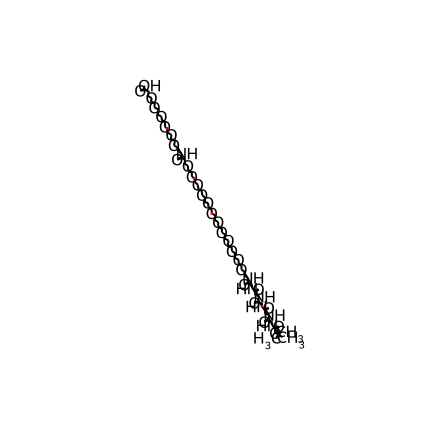 CC(C)(C)OC(=O)NCC(=O)NCC(=O)NCC(=O)NCC(=O)NCC(=O)NCCOCCOCCOCCOCCOCCOCCOCCOCCOCCOCCOCCOCCC(=O)NCCOCCOCCOCCOCCOCCOCCC(=O)O